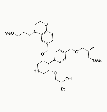 CC[C@@H](O)CO[C@@H]1CNC[C@H](OCc2ccc3c(c2)N(CCCOC)CCO3)[C@H]1c1ccc(COC[C@@H](C)COC)cc1